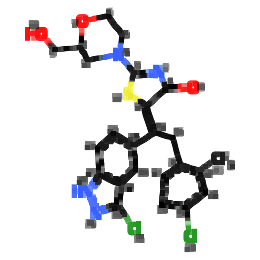 O=C1N=C(N2CCOC(CO)C2)SC1=C(Cc1ccc(Cl)cc1C(F)(F)F)c1ccc2[nH]nc(Cl)c2c1